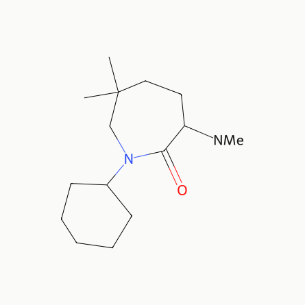 CNC1CCC(C)(C)CN(C2CCCCC2)C1=O